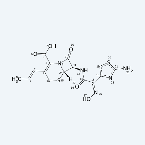 C/C=C/C1=C(C(=O)O)N2C(=O)[C@@H](NC(=O)/C(=N\O)c3csc(N)n3)[C@@H]2SC1